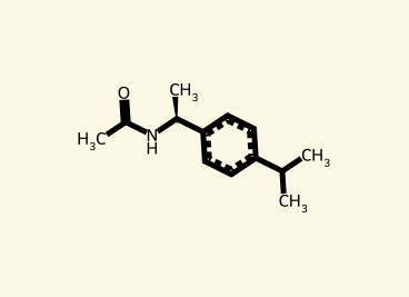 CC(=O)N[C@@H](C)c1ccc(C(C)C)cc1